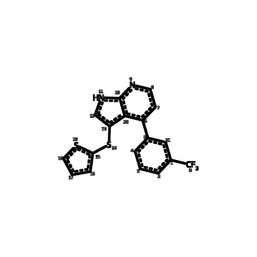 FC(F)(F)c1cccc(-c2ccnc3[nH]cc(Sc4cccs4)c23)c1